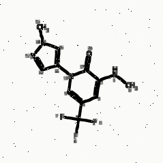 CNc1cc(C(F)(F)F)cn(-c2cnn(C)c2)c1=O